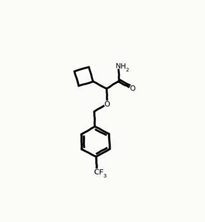 NC(=O)C(OCc1ccc(C(F)(F)F)cc1)C1CCC1